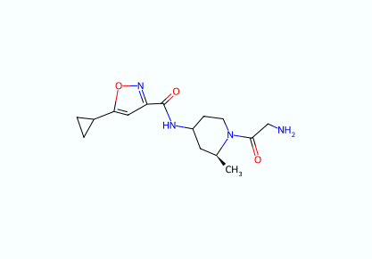 C[C@H]1CC(NC(=O)c2cc(C3CC3)on2)CCN1C(=O)CN